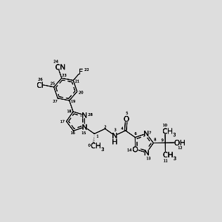 C[C@@H](CNC(=O)c1nc(C(C)(C)O)no1)n1ccc(-c2cc(F)c(C#N)c(Cl)c2)n1